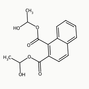 CC(O)OC(=O)c1ccc2ccccc2c1C(=O)OC(C)O